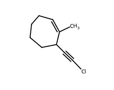 CC1=CCCCCC1C#CCl